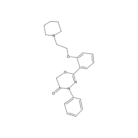 O=C1COC(c2ccccc2OCCN2CCCCC2)=NN1c1ccccc1